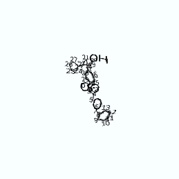 O=S(=O)(CCCOCc1ccccc1)c1ccc(C2(CO)CC2C2CCCC2)cc1